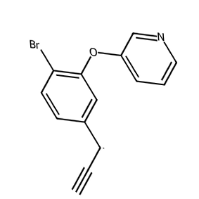 C#C[CH]c1ccc(Br)c(Oc2cccnc2)c1